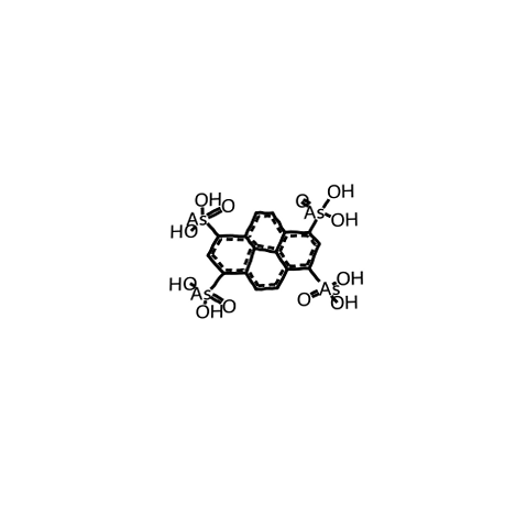 O=[As](O)(O)c1cc([As](=O)(O)O)c2ccc3c([As](=O)(O)O)cc([As](=O)(O)O)c4ccc1c2c43